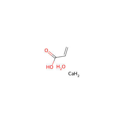 C=CC(=O)O.O.[CaH2]